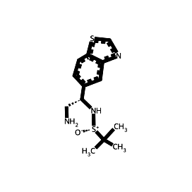 CC(C)(C)[S@+]([O-])N[C@H](CN)c1ccc2scnc2c1